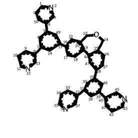 c1cncc(-c2cc(-c3cccnc3)cc(-c3ccc4c(c3)COCc3ccc(-c5cc(-c6cccnc6)cc(-c6cccnc6)c5)cc3-4)c2)c1